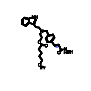 CC(C)OCCCCC(=O)OCCN(CCc1c[nH]c2ccccc12)Cc1ccc(/C=C/C(=O)NO)cc1